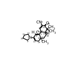 [C-]#[N+]C1=C[C@]2(C)C3=CC(N4CCCC4)=CC[C@]3(C)CC[C@H]2C(C)(C)C1=O